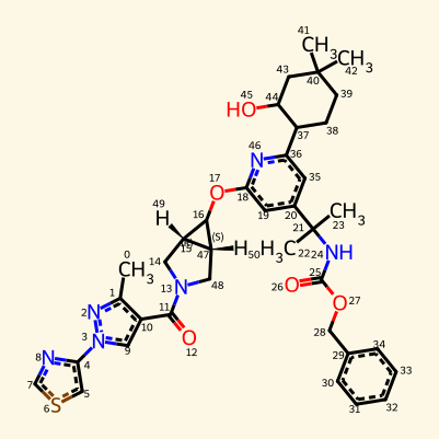 Cc1nn(-c2cscn2)cc1C(=O)N1C[C@@H]2C(Oc3cc(C(C)(C)NC(=O)OCc4ccccc4)cc(C4CCC(C)(C)CC4O)n3)[C@@H]2C1